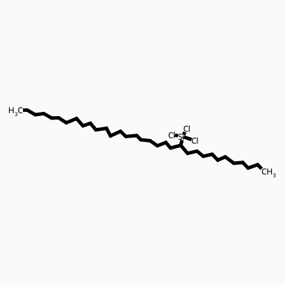 CCCCCCCCCCCCCCCCCCCCCC(CCCCCCCCCCC)[Si](Cl)(Cl)Cl